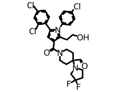 O=CC1(N2CCC(F)(F)C2)CCN(C(=O)c2cc(-c3ccc(Cl)cc3Cl)n(-c3ccc(Cl)cc3)c2CCO)CC1